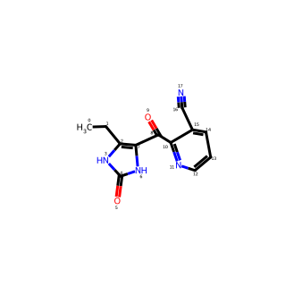 CCc1[nH]c(=O)[nH]c1C(=O)c1ncccc1C#N